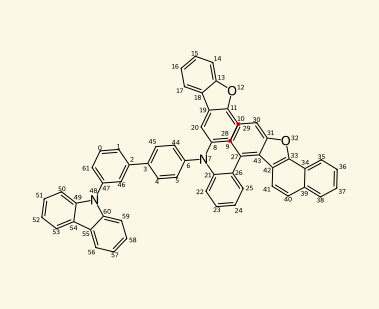 c1cc(-c2ccc(N(c3ccc4oc5ccccc5c4c3)c3ccccc3-c3cccc4oc5c6ccccc6ccc5c34)cc2)cc(-n2c3ccccc3c3ccccc32)c1